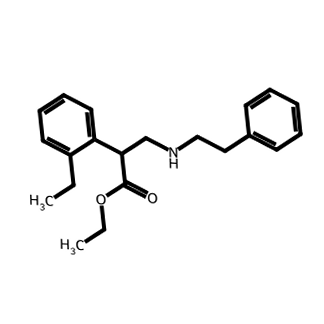 CCOC(=O)C(CNCCc1ccccc1)c1ccccc1CC